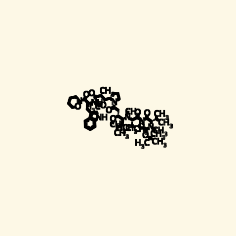 CC[C@H](C)[C@@H]([C@@H](CC(=O)N1CCC[C@H]1[C@H](OC)[C@@H](C)C(=O)N[C@@H](Cc1c[nH]c2ccccc12)C(=O)N1CCCCO1)OC)N(C)[C@H](C(=O)NC(=O)[C@H](C(C)C)N(C)C(=O)OC(C)(C)C)C(C)C